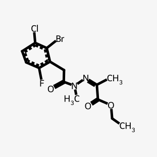 CCOC(=O)C(C)=NN(C)C(=O)Cc1c(F)ccc(Cl)c1Br